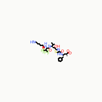 CNCCCCCC(=O)N[C@H](C(=O)N(C)[C@H](C[C@@H](O)c1nc(C(=O)N[C@@H](Cc2ccccc2)C[C@H](C)C(=O)OC)cs1)C(C)C)C(C(F)(F)F)C(F)(F)F